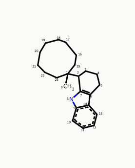 CC1(C2CCCC3=C2[N]c2ccccc23)CCCCCCCCC1